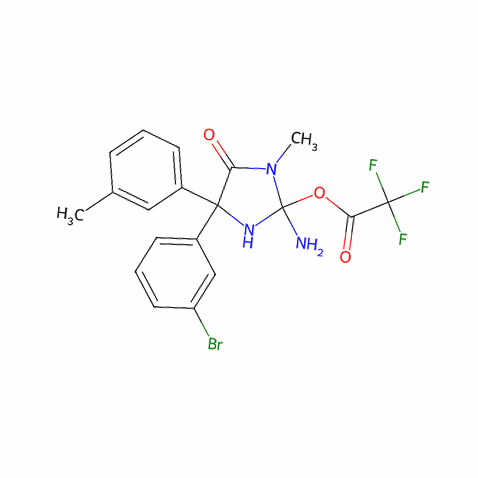 Cc1cccc(C2(c3cccc(Br)c3)NC(N)(OC(=O)C(F)(F)F)N(C)C2=O)c1